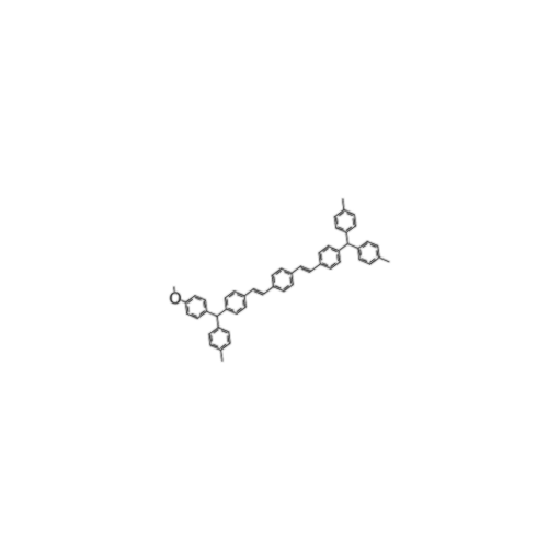 COc1ccc(C(c2ccc(C)cc2)c2ccc(C=Cc3ccc(C=Cc4ccc(C(c5ccc(C)cc5)c5ccc(C)cc5)cc4)cc3)cc2)cc1